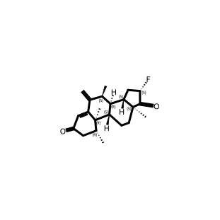 C=C1C2=CC(=O)C[C@@H](C)[C@]2(C)[C@H]2CC[C@]3(C)C(=O)[C@@H](F)C[C@H]3[C@@H]2[C@@H]1C